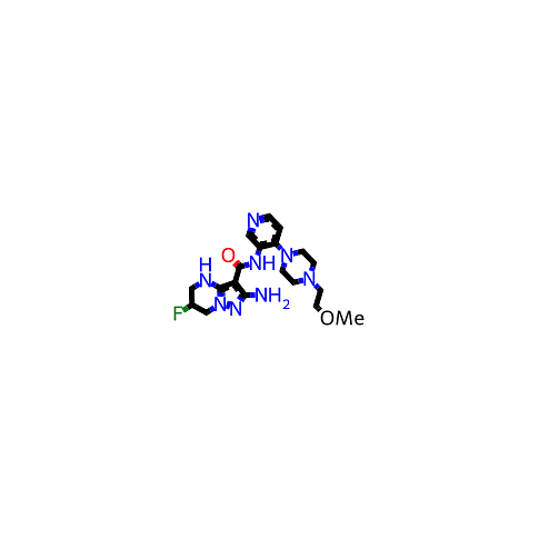 COCCN1CCN(c2ccncc2NC(=O)c2c(N)nn3c2NCC(F)C3)CC1